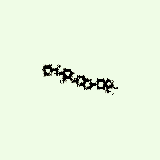 C[C@@H]1OCC2(CCN(c3cnc4nc(Sc5cccc(NC(=O)c6ccncn6)c5Cl)ncc4n3)CC2)[C@@H]1N